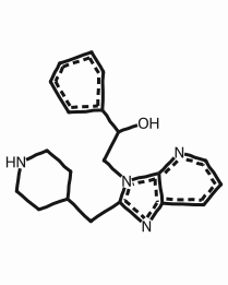 OC(Cn1c(CC2CCNCC2)nc2cccnc21)c1ccccc1